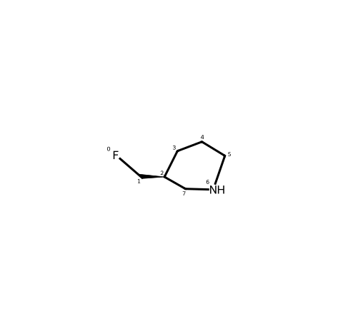 FC[C@H]1CCCNC1